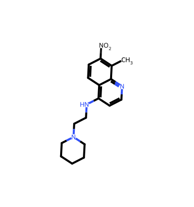 Cc1c([N+](=O)[O-])ccc2c(NCCN3CCCCC3)ccnc12